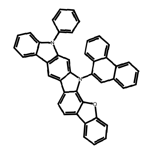 c1ccc(-n2c3ccccc3c3cc4c5ccc6c7ccccc7oc6c5n(-c5cc6ccccc6c6ccccc56)c4cc32)cc1